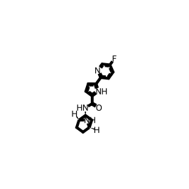 O=C(N[C@@H]1C[C@H]2CC[C@@H]1N2)c1ccc(-c2ccc(F)cn2)[nH]1